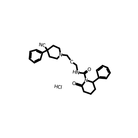 Cl.N#CC1(c2ccccc2)CCN(CCCNC(=O)N2C(=O)CCCC2c2ccccc2)CC1